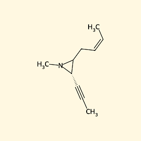 CC#C[C@H]1C(C/C=C\C)N1C